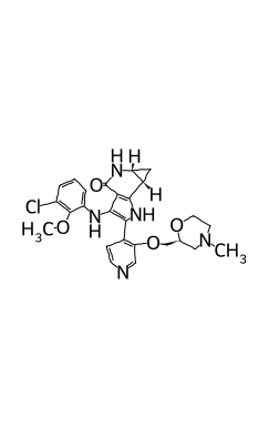 COc1c(Cl)cccc1Nc1c(-c2ccncc2OC[C@@H]2CN(C)CCO2)[nH]c2c1C(=O)N[C@@H]1C[C@H]21